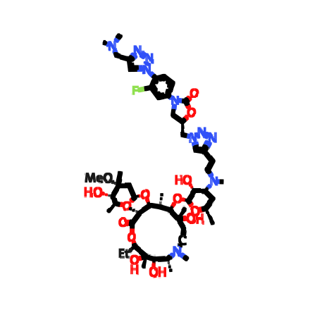 CC[C@H]1OC(=O)[C@H](C)[C@@H](O[C@H]2C[C@@](C)(OC)[C@@H](O)[C@H](C)O2)[C@H](C)[C@@H](O[C@@H]2O[C@H](C)C[C@H](N(C)CCc3cn(C[C@H]4CN(c5ccc(-n6cc(CN(C)C)nn6)c(F)c5)C(=O)O4)nn3)[C@H]2O)[C@](C)(O)CCN(C)[C@H](C)[C@@H](O)[C@]1(C)O